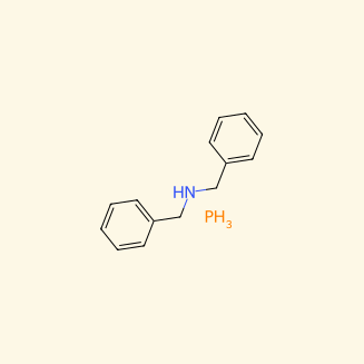 P.c1ccc(CNCc2ccccc2)cc1